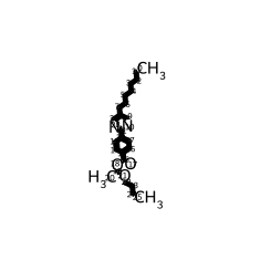 CCCCCCCCc1cnc(-c2ccc(C(=O)OC(C)OCCCC)cc2)nc1